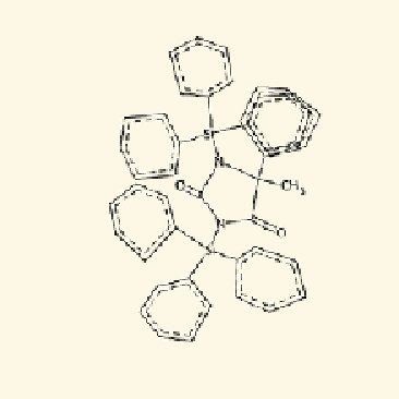 CC1(c2ccccc2)C(=O)N([Si](c2ccccc2)(c2ccccc2)c2ccccc2)C(=O)N1[Si](c1ccccc1)(c1ccccc1)c1ccccc1